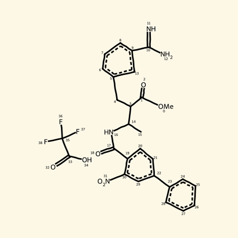 COC(=O)C(Cc1cccc(C(=N)N)c1)C(C)NC(=O)c1ccc(-c2ccccc2)cc1[N+](=O)[O-].O=C(O)C(F)(F)F